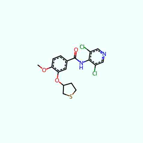 COc1ccc(C(=O)Nc2c(Cl)cncc2Cl)cc1OC1CCSC1